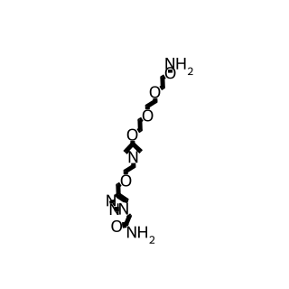 NOCCOCCOCCOC1CN(CCOCc2cn(CC(N)=O)nn2)C1